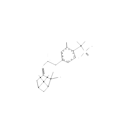 CC(=O)[C@H](Cc1ccc(C(F)(F)P(=O)(O)O)c(Br)c1)/N=C1/CC2CC(C1(C)O)C2(C)C